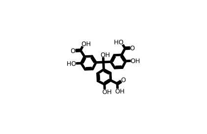 O=C(O)c1cc(C(O)(c2ccc(O)c(C(=O)O)c2)c2ccc(O)c(C(=O)O)c2)ccc1O